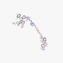 Cn1cc(-c2cc(NC(=O)CCCc3cn(CCOCCOCCOCCNc4cccc5c4C(=O)N(C4CCC(=O)NC4=O)C5=O)nn3)ccc2Oc2ccc(F)cc2F)c2cc[nH]c2c1=O